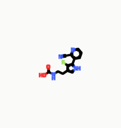 N#Cc1ncccc1-c1[nH]cc(CCNC(=O)O)c1F